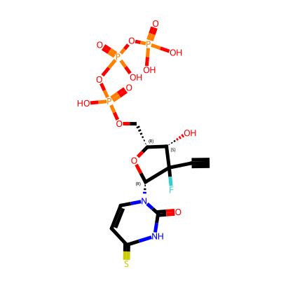 C#CC1(F)[C@@H](O)[C@@H](COP(=O)(O)OP(=O)(O)OP(=O)(O)O)O[C@H]1n1ccc(=S)[nH]c1=O